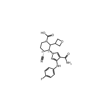 N#C[C@@H]1CCN(C(=O)O)C(C2COC2)[C@H]1n1cc(C(N)=O)c(Nc2ccc(F)cc2)n1